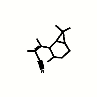 CC(C#N)=C(C)C1C(C)CCC2C1C2(C)C